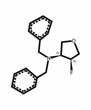 F[C@@H]1COC[C@@H]1N(Cc1ccccc1)Cc1ccccc1